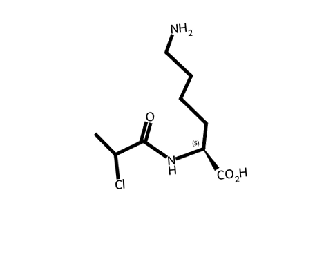 CC(Cl)C(=O)N[C@@H](CCCCN)C(=O)O